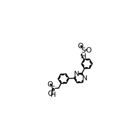 O=[SH](=O)Cc1cccc(-c2ccnc(-c3cccc(C[SH](=O)=O)c3)n2)c1